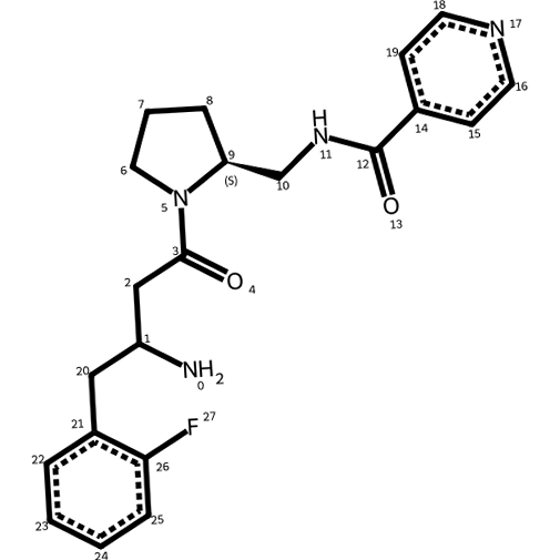 NC(CC(=O)N1CCC[C@H]1CNC(=O)c1ccncc1)Cc1ccccc1F